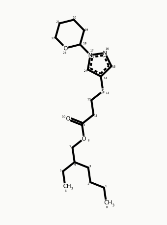 CCCCC(CC)COC(=O)CCSc1cnn(C2CCCCO2)c1